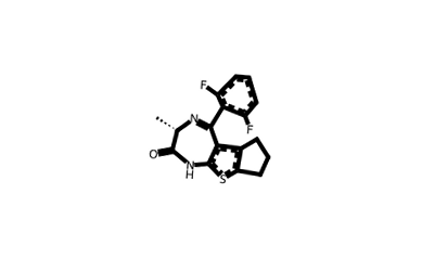 C[C@@H]1N=C(c2c(F)cccc2F)c2c(sc3c2CCC3)NC1=O